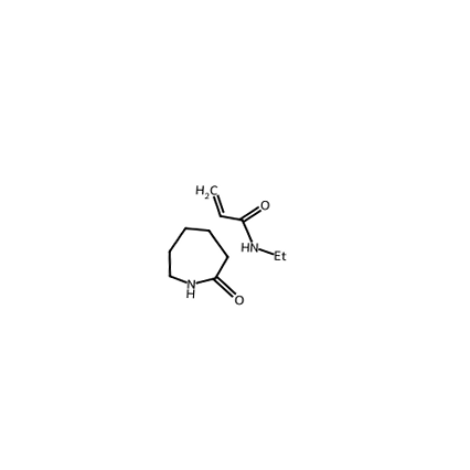 C=CC(=O)NCC.O=C1CCCCCN1